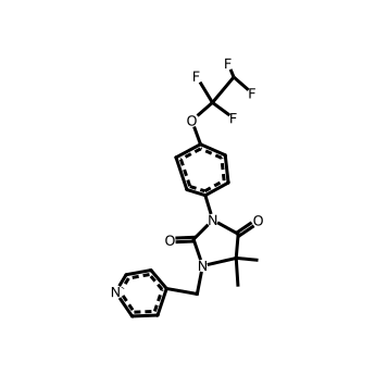 CC1(C)C(=O)N(c2ccc(OC(F)(F)C(F)F)cc2)C(=O)N1Cc1ccncc1